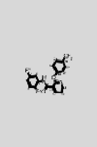 O=C(Nc1cc(F)ccc1F)c1cccnc1Oc1ccc(C(F)(F)F)cc1